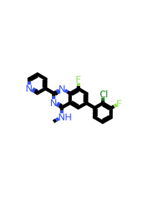 CNc1nc(-c2cccnc2)nc2c(F)cc(-c3cccc(F)c3Cl)cc12